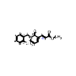 COC(=O)/C=C/c1cccn(Cc2ccccc2C)c1=O